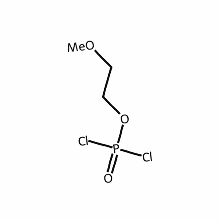 COCCOP(=O)(Cl)Cl